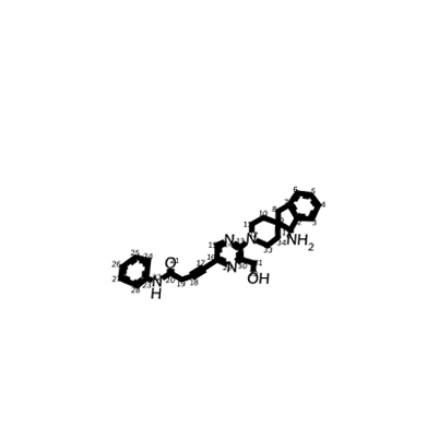 NC1c2ccccc2CC12CCN(c1ncc(C#CCC(=O)Nc3ccccc3)nc1CO)CC2